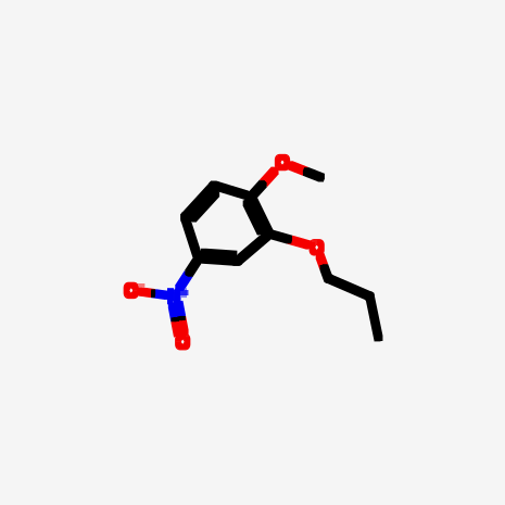 CCCOc1cc([N+](=O)[O-])ccc1OC